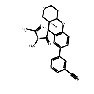 CN1C(=O)[C@]2(N=C1N)c1cc(-c3cncc(C#N)c3)ccc1OC1CCOC[C@@H]12